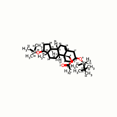 CC(=O)OC[C@]12CCC(O[Si](C)(C)C(C)(C)C)CC1=CC[C@@H]1[C@H]2CC[C@]2(C)C(O[Si](C)(C)C)CC[C@@H]12